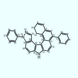 C1=Cc2cc(-c3ccccc3)c3ccc4[nH]c5ccc6c(cnn6-c6ccccc6)c5c4c3c2CC1